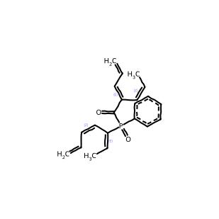 C=C/C=C\C(=C/C)P(=O)(C(=O)C(/C=C\C)=C/C=C)c1ccccc1